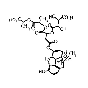 C[C@H](OC(=O)[C@H](C)OC(=O)[C@H](CC(=O)OC1=CC[C@@]2(O)[C@H]3Cc4ccc(O)c5c4[C@@]2(CCN3C)[C@H]1O5)OC(=O)[C@H](O)[C@@H](O)C(=O)O)C(=O)O